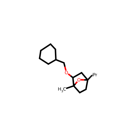 CC(C)C12CCC(C)(O1)C(OCC1CCCCC1)C2